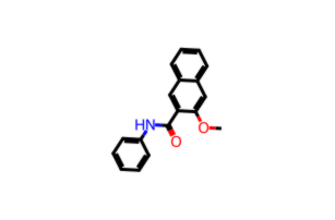 COc1cc2ccccc2cc1C(=O)Nc1ccccc1